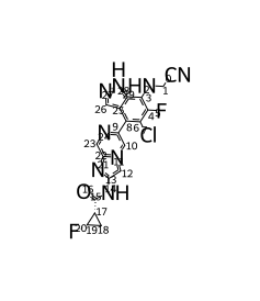 N#CCNc1c(F)c(Cl)c(-c2cn3cc(NC(=O)[C@@H]4C[C@@H]4F)nc3cn2)c2cn[nH]c12